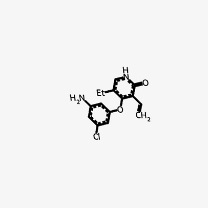 C=Cc1c(Oc2cc(N)cc(Cl)c2)c(CC)c[nH]c1=O